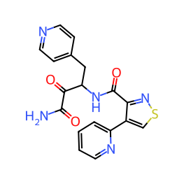 NC(=O)C(=O)C(Cc1ccncc1)NC(=O)c1nscc1-c1ccccn1